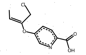 CC=C(CCl)Oc1ccc(C(=O)O)nc1